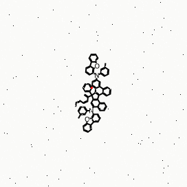 C=C(/C=C\C=C/C)C1(c2ccccc2)c2cc(N(c3cccc(C)c3)c3cccc4c3oc3ccccc34)c3ccccc3c2-c2c1c1ccc(N(c3cccc(C)c3)c3cccc4c3oc3ccccc34)cc1c1ccccc21